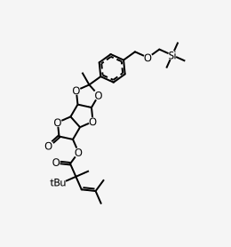 CC(C)=CC(C)(C(=O)OC1C(=O)OC2C3OC(C)(c4ccc(COC[Si](C)(C)C)cc4)OC3OC12)C(C)(C)C